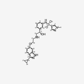 Cn1cc(S(=O)(=O)Nc2cccc([C@@H](O)CNCCOc3ccc4c(C5CC5)n[nH]c4c3)c2)cn1